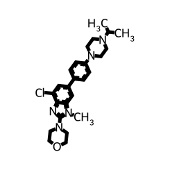 CC(C)N1CCN(c2ccc(-c3cc(Cl)c4nc(N5CCOCC5)n(C)c4c3)cc2)CC1